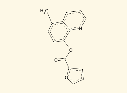 Cc1ccc(OC(=O)c2ccco2)c2ncccc12